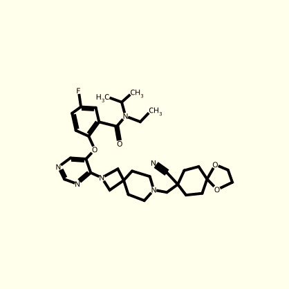 CCN(C(=O)c1cc(F)ccc1Oc1cncnc1N1CC2(CCN(CC3(C#N)CCC4(CC3)OCCO4)CC2)C1)C(C)C